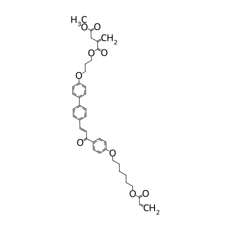 C=CC(=O)OCCCCCCOc1ccc(C(=O)/C=C/c2ccc(-c3ccc(OCCCOC(=O)C(=C)CC(=O)OC)cc3)cc2)cc1